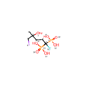 CC(O)(CI)CCC(F)(P(=O)(O)O)P(=O)(O)O